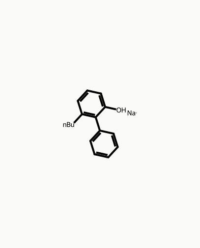 CCCCc1cccc(O)c1-c1ccccc1.[Na]